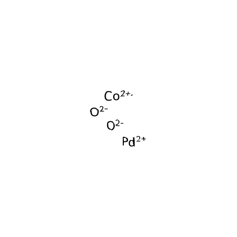 [Co+2].[O-2].[O-2].[Pd+2]